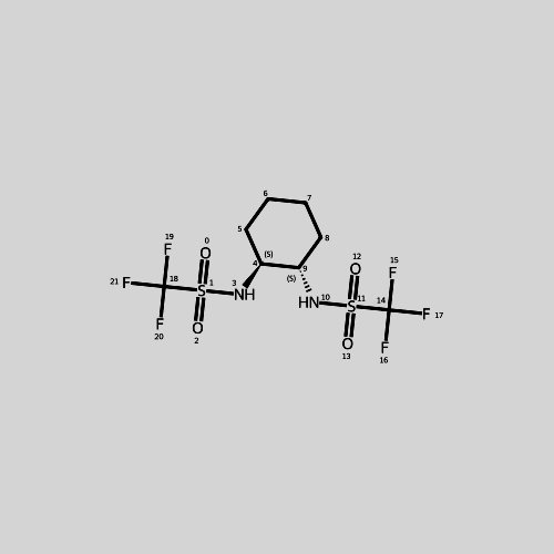 O=S(=O)(N[C@H]1CCCC[C@@H]1NS(=O)(=O)C(F)(F)F)C(F)(F)F